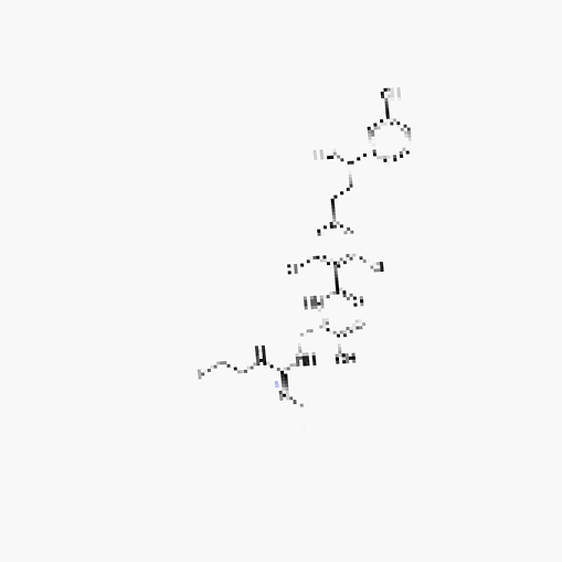 CC/N=C(/NCCF)NC[C@H](NC(=O)c1c(Cl)cc(CCC(O)c2cccc(O)c2)cc1Cl)C(=O)O